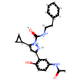 CC(=O)Nc1ccc(O)c(-c2cc(C3CC3)n(C(=O)NCCc3ccccc3)n2)c1